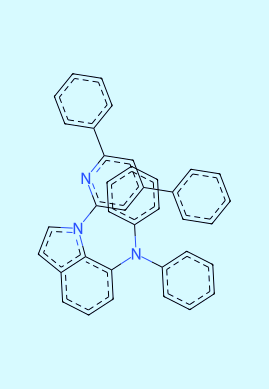 c1ccc(-c2cc(-c3ccccc3)nc(-n3ccc4cccc(N(c5ccccc5)c5ccccc5)c43)c2)cc1